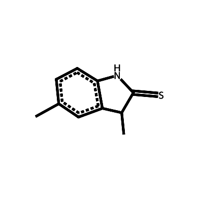 Cc1ccc2c(c1)C(C)C(=S)N2